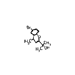 CC1CC(C(C)(C)O)Oc2ccc(Br)cc21